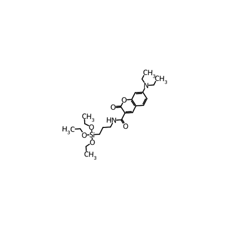 CCO[Si](CCCNC(=O)c1cc2ccc(N(CC)CC)cc2oc1=O)(OCC)OCC